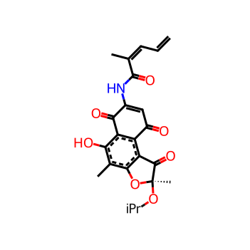 C=C/C=C(/C)C(=O)NC1=CC(=O)c2c(c(O)c(C)c3c2C(=O)[C@@](C)(OC(C)C)O3)C1=O